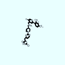 O=C1NC(=O)/C(=C/c2ccnc(N3CCC(CNCc4cc(-c5ccc(C(F)(F)F)cc5C(F)(F)F)ncc4F)CC3)n2)S1